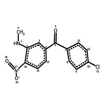 CNc1cc(C(=O)c2ccc(Cl)cc2)ccc1[N+](=O)[O-]